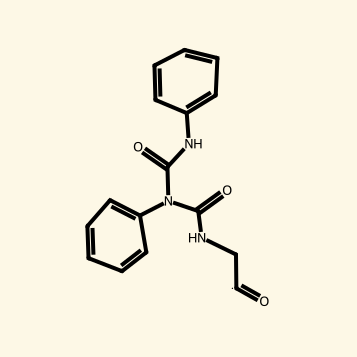 O=[C]CNC(=O)N(C(=O)Nc1ccccc1)c1ccccc1